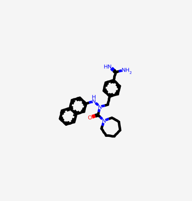 N=C(N)c1ccc(CN(Nc2ccc3ccccc3c2)C(=O)N2CCCCCC2)cc1